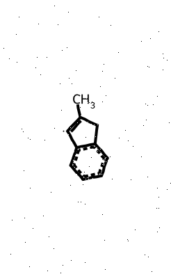 CC1=[C]c2ccccc2C1